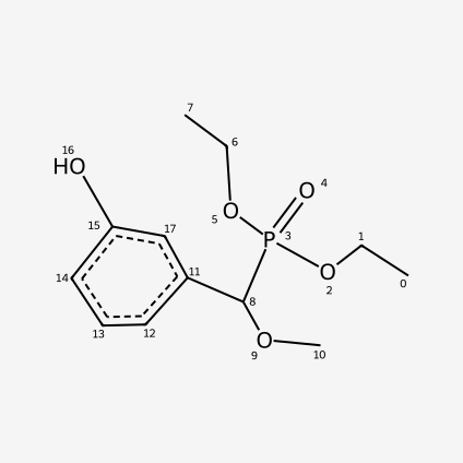 CCOP(=O)(OCC)C(OC)c1cccc(O)c1